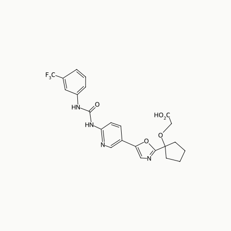 O=C(O)COC1(c2ncc(-c3ccc(NC(=O)Nc4cccc(C(F)(F)F)c4)nc3)o2)CCCC1